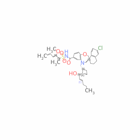 C=CC[C@@H](OC)[C@H](C)S(=O)(=O)NC(=O)c1ccc2c(c1)N(C[C@@H]1CC[C@H]1[C@@H](O)/C=C/CCC)C[C@@]1(CCCc3cc(Cl)ccc31)CO2